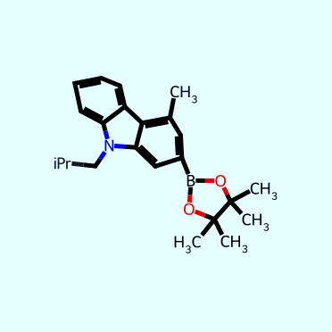 Cc1cc(B2OC(C)(C)C(C)(C)O2)cc2c1c1ccccc1n2CC(C)C